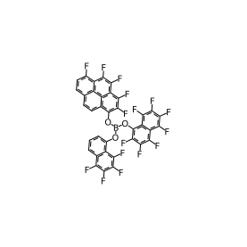 Fc1c(F)c(F)c2c(OB(Oc3c(F)c(F)c4c(F)c(F)c5c(F)ccc6ccc3c4c65)Oc3c(F)c(F)c(F)c4c(F)c(F)c(F)c(F)c34)cccc2c1F